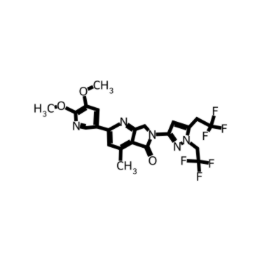 COc1cc(-c2cc(C)c3c(n2)CN(c2cc(CC(F)(F)F)n(CC(F)(F)F)n2)C3=O)cnc1OC